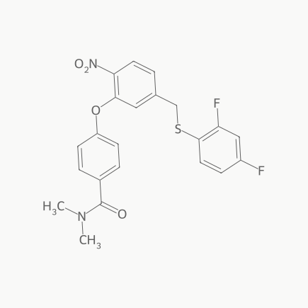 CN(C)C(=O)c1ccc(Oc2cc(CSc3ccc(F)cc3F)ccc2[N+](=O)[O-])cc1